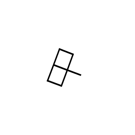 CC12CCC1CC2